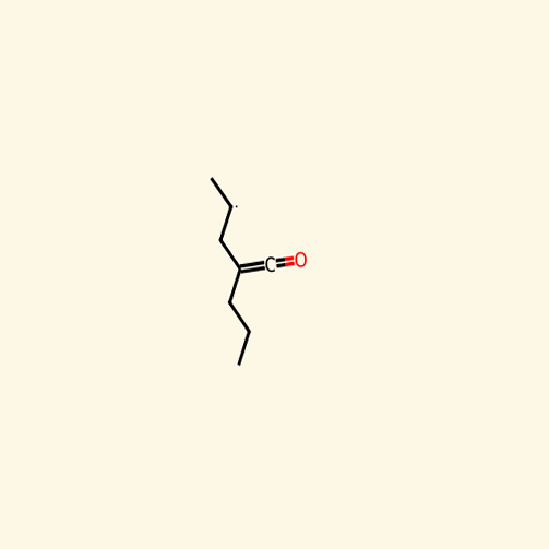 C[CH]CC(=C=O)CCC